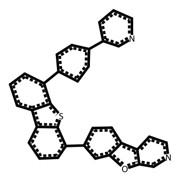 c1cncc(-c2ccc(-c3cccc4c3sc3c(-c5ccc6c(c5)oc5cnccc56)cccc34)cc2)c1